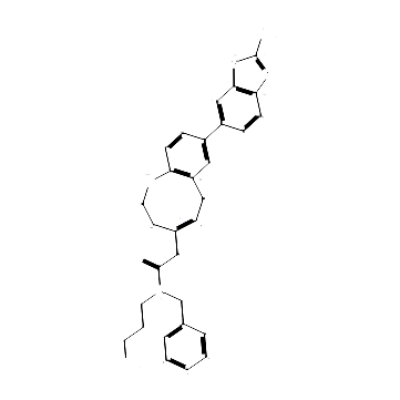 CCCCN(Cc1ccccc1)C(=O)C/C1=C/Cc2cc(-c3ccc4nc(C)[nH]c4c3)ccc2OCC1